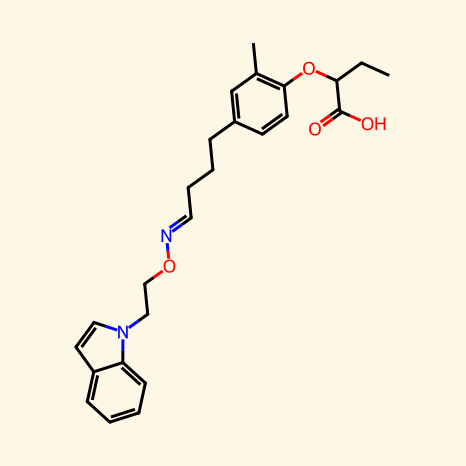 CCC(Oc1ccc(CCCC=NOCCn2ccc3ccccc32)cc1C)C(=O)O